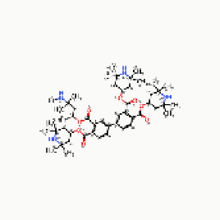 CCCC(CC(C)(C)NCC)OC(=O)c1cc(-c2ccc(C(=O)OC3CC(C)(C)NC(C)(C)C3)c(C(=O)OC3CC(C)(C)NC(C)(C)C3)c2)ccc1C(=O)OC1CC(C)(C)NC(C)(C)C1